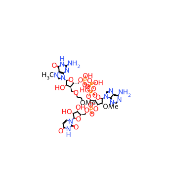 COCCOC[C@H]1[C@@H](O)[C@H](n2c[n+](C)c3c(=O)[nH]c(N)nc32)O[C@@H]1COP(=O)(O)OP(=O)(O)OP(=O)(O)OC[C@H]1O[C@@H](n2cnc3c(N)ncnc32)[C@H](OC)[C@@H]1OP(=O)([O-])OC[C@H]1O[C@@H](n2ccc(=O)[nH]c2=O)[C@H](O)[C@@H]1O